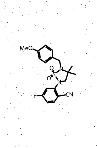 COc1ccc(CN2C(C)(C)CN(c3cc(F)ccc3C#N)S2(=O)=O)cc1